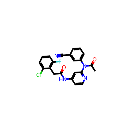 CC(=O)N(c1cccc(C#N)c1)c1cc(NC(=O)Cc2c(F)cccc2Cl)ccn1